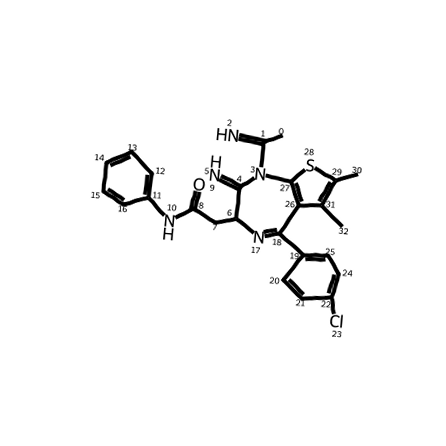 CC(=N)N1C(=N)C(CC(=O)Nc2ccccc2)N=C(c2ccc(Cl)cc2)c2c1sc(C)c2C